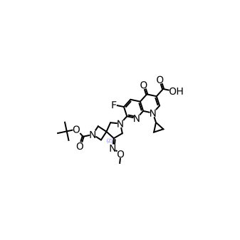 CO/N=C1\CN(c2nc3c(cc2F)c(=O)c(C(=O)O)cn3C2CC2)CC12CN(C(=O)OC(C)(C)C)C2